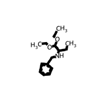 CCOC(OCC)C(CC)NCc1ccccc1